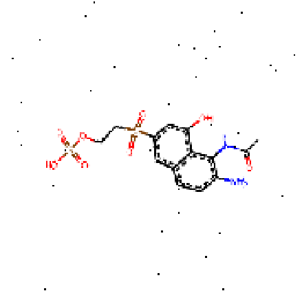 CC(=O)Nc1c(N)ccc2cc(S(=O)(=O)CCOS(=O)(=O)O)cc(O)c12